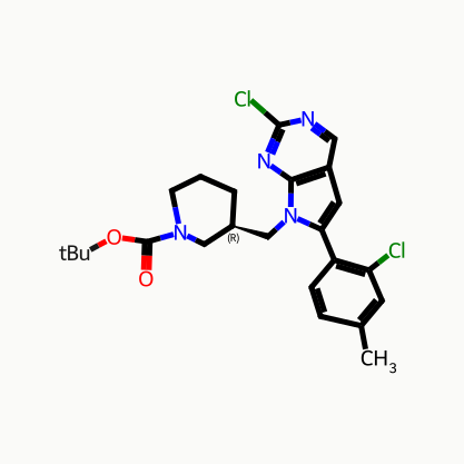 Cc1ccc(-c2cc3cnc(Cl)nc3n2C[C@@H]2CCCN(C(=O)OC(C)(C)C)C2)c(Cl)c1